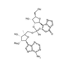 CO[C@H]1[C@H](n2cnc3c(N)ncnc32)O[C@](C)(COP(=O)(S)O[C@@H]2[C@H](O)[C@@H](CO)O[C@H]2n2ccc(=O)n3ccnc23)[C@H]1O